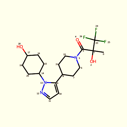 CC(O)(C(=O)N1CCC(c2ccnn2C2CCC(O)CC2)CC1)C(F)(F)F